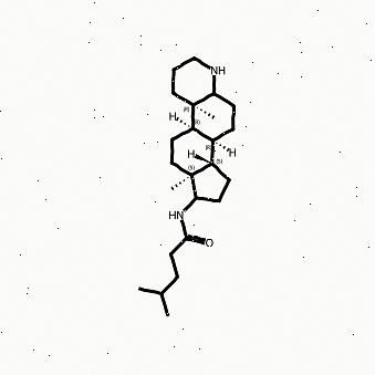 CC(C)CCC(=O)NC1CC[C@H]2[C@@H]3CCC4NCCC[C@]4(C)[C@@H]3CC[C@]12C